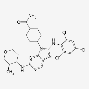 C[C@H]1COCCC1Nc1ncc2nc(Nc3c(Cl)cc(Cl)cc3Cl)n(C3CCC(C(N)=O)CC3)c2n1